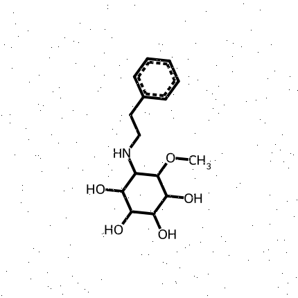 COC1C(O)C(O)C(O)C(O)C1NCCc1ccccc1